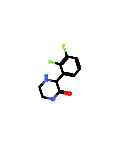 O=C1[N]CCNC1c1cccc(F)c1F